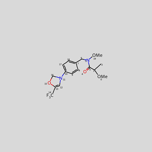 COC(C)C(=O)N(Cc1ccc(N2C=C(C(F)(F)F)OC2)cc1)OC